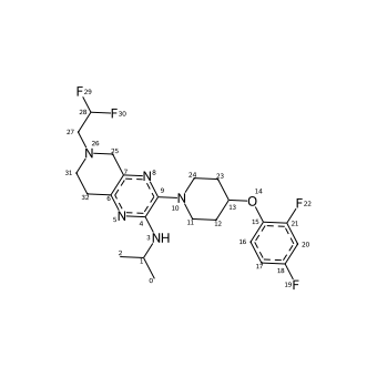 CC(C)Nc1nc2c(nc1N1CCC(Oc3ccc(F)cc3F)CC1)CN(CC(F)F)CC2